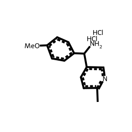 COc1ccc(C(N)c2ccc(C)nc2)cc1.Cl.Cl